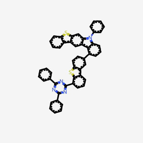 c1ccc(-c2nc(-c3ccccc3)nc(-c3cccc4c3sc3ccc(-c5cccc6c5c5cc7c(cc5n6-c5ccccc5)sc5ccccc57)cc34)n2)cc1